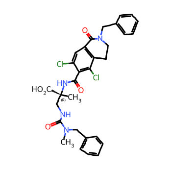 CN(Cc1ccccc1)C(=O)NC[C@@](C)(NC(=O)c1c(Cl)cc2c(c1Cl)CCN(Cc1ccccc1)C2=O)C(=O)O